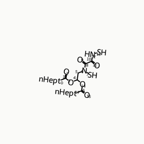 CCCCCCCC(=O)OC(CN(S)C(=O)C(=O)NS)OC(=O)CCCCCCC